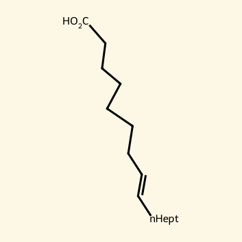 CCCCCCC/C=C/CCCCCCC(=O)O